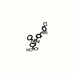 O=C(O)c1ccc2c(c1)nc(-c1ccc(CNc3ccc(Cl)cc3)cc1)n2C1CCCCC1